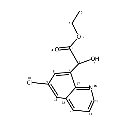 CCOC(=O)C(O)c1cc(Cl)cc2cccnc12